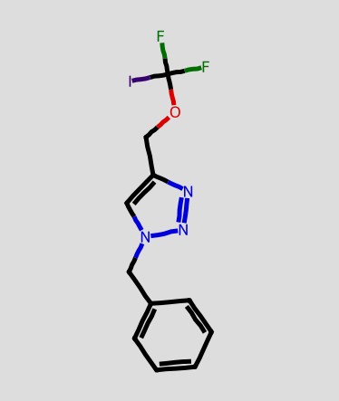 FC(F)(I)OCc1cn(Cc2ccccc2)nn1